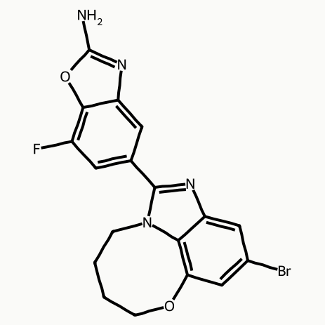 Nc1nc2cc(-c3nc4cc(Br)cc5c4n3CCCCO5)cc(F)c2o1